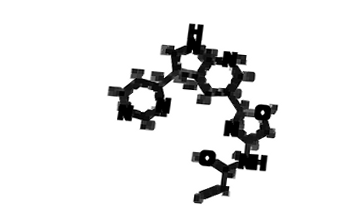 C=CC(=O)Nc1coc(-c2cnc3[nH]cc(-c4ccncn4)c3c2)n1